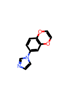 C1=COc2cc(-n3ccnc3)ccc2O1